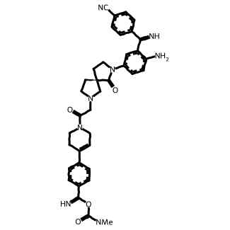 CNC(=O)OC(=N)c1ccc(C2=CCN(C(=O)CN3CC[C@]4(CCN(c5ccc(N)c(C(=N)c6ccc(C#N)cc6)c5)C4=O)C3)CC2)cc1